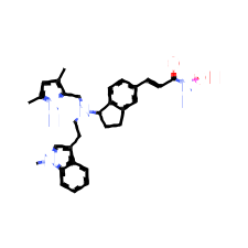 Cc1cc(C)c(CN(CCc2cn(C)c3ccccc23)C2CCc3cc(C=CC(=O)NO)ccc32)[nH]1